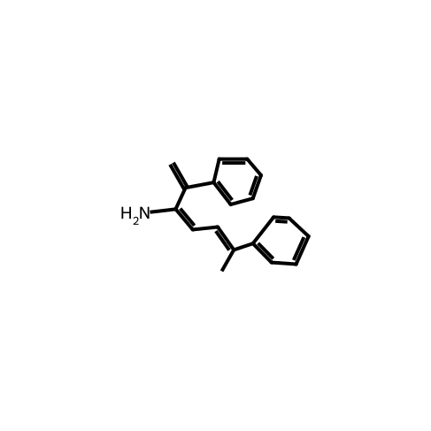 C=C(/C(N)=C\C=C(/C)c1ccccc1)c1ccccc1